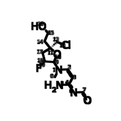 CN(/C=C\C(N)=N/C=O)C1O[C@](CCl)(CCO)C[C@@H]1F